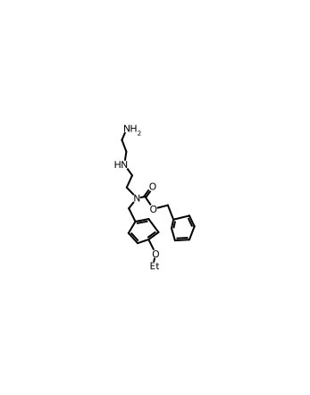 CCOc1ccc(CN(CCNCCN)C(=O)OCc2ccccc2)cc1